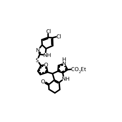 CCOC(=O)c1[nH]cc2c1NC1=C(C(=O)CCC1)C2c1ccc(SC2=NC3C=C(Cl)C(Cl)=CC3N2)o1